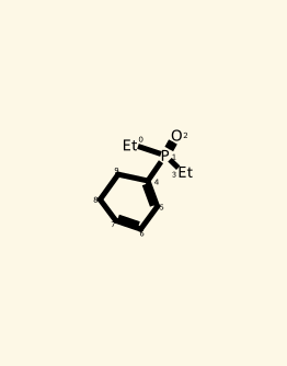 CCP(=O)(CC)C1=CC=CCC1